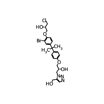 CC(C)(c1ccc(OC[C@@H](O)Cn2nncc2CO)cc1)c1ccc(OC[C@@H](O)CCl)c(Br)c1